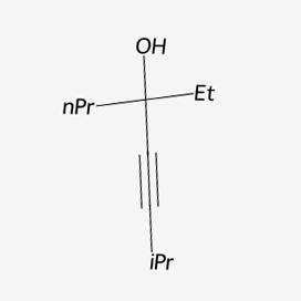 CCCC(O)(C#CC(C)C)CC